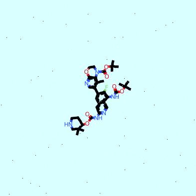 Cc1c(-c2cc3cc(NC(=O)OC4CCNCC4(C)C)ncc3c(NC(=O)OC(C)(C)C)c2F)cnc2c1N(C(=O)OC(C)(C)C)CCO2